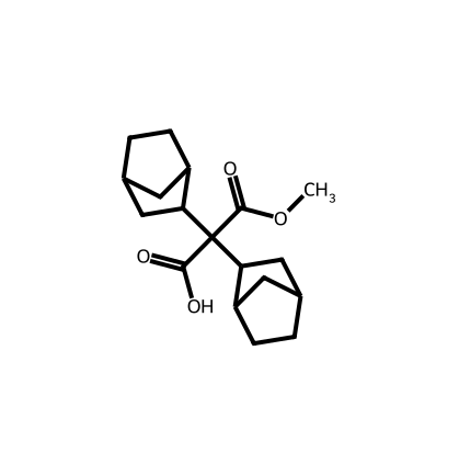 COC(=O)C(C(=O)O)(C1CC2CCC1C2)C1CC2CCC1C2